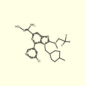 CC1CCC(Cn2c(N(C)CC(F)(F)F)nc3cc(C(N)=NO)nc(-c4cncc(Cl)c4)c32)CC1